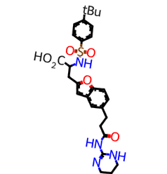 CC(C)(C)c1ccc(S(=O)(=O)NC(Cc2cc3cc(CCC(=O)NC4=NCCCN4)ccc3o2)C(=O)O)cc1